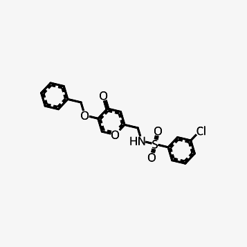 O=c1cc(CNS(=O)(=O)c2cccc(Cl)c2)occ1OCc1ccccc1